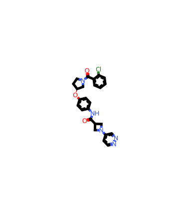 O=C(Nc1ccc(O[C@@H]2CCN(C(=O)c3ccccc3Cl)C2)cc1)C1CN(c2ccnnc2)C1